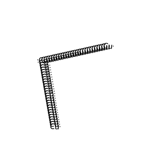 [Co].[Co].[Co].[Co].[Co].[Co].[Co].[Co].[Co].[Co].[Co].[Co].[Co].[Co].[Co].[Co].[Co].[Co].[Co].[Co].[Co].[Co].[Co].[Co].[Co].[Co].[Co].[Co].[Co].[Cu].[Cu].[Cu].[Cu].[Cu].[Cu].[Cu].[Cu].[Cu].[Cu].[Cu].[Cu].[Cu].[Cu].[Cu].[Cu].[Cu].[Cu].[Cu].[Cu].[Cu].[Cu].[Cu].[Cu].[Cu].[Cu].[Cu]